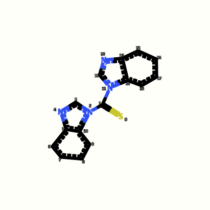 S=C(n1cnc2ccccc21)n1cnc2ccccc21